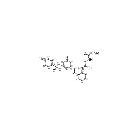 COC(=O)NCC(=O)Nc1ccccc1CC[C@H]1CNC[C@@H](CS(=O)(=O)c2ccc(Cl)cc2)O1